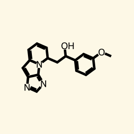 COc1cccc(C(O)CC2C=CC=c3cc4c(n32)=NC=N4)c1